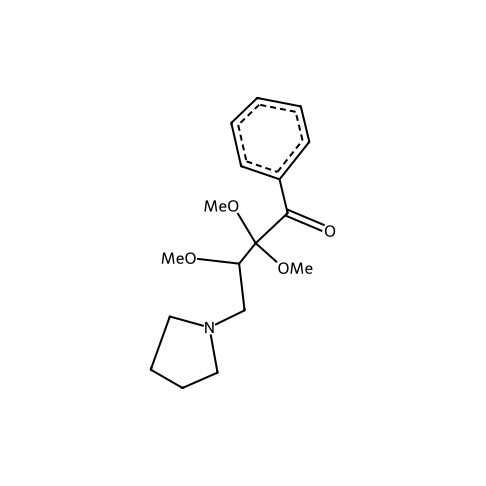 COC(CN1CCCC1)C(OC)(OC)C(=O)c1ccccc1